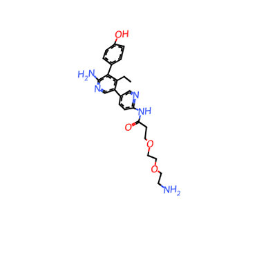 CCc1c(-c2ccc(NC(=O)CCOCCOCCN)nc2)cnc(N)c1-c1ccc(O)cc1